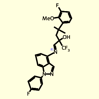 COc1c(F)cccc1C(C)(C)CC(O)(/C=N/c1cccc2c1cnn2-c1ccc(F)cc1)C(F)(F)F